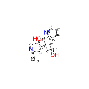 CC1(O)CC(c2ccnc(C(F)(F)F)c2)(C(O)c2ccccn2)C1